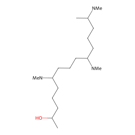 CNC(C)CCCC(CCCC(CCCC(C)O)NC)NC